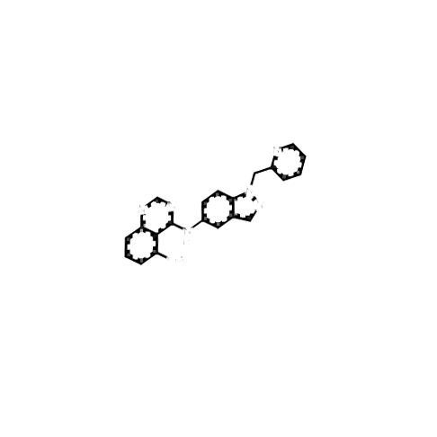 CC(=O)Oc1cccc2ncnc(Nc3ccc4c(cnn4Cc4ccccn4)c3)c12